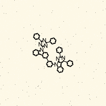 c1ccc(-c2nc(-c3ccccc3)nc(-n3c4ccccc4c4cc(-c5cccc(-n6c7ccccc7c7c(-c8ccccc8)nc(-c8ccccc8)nc76)c5)ccc43)n2)cc1